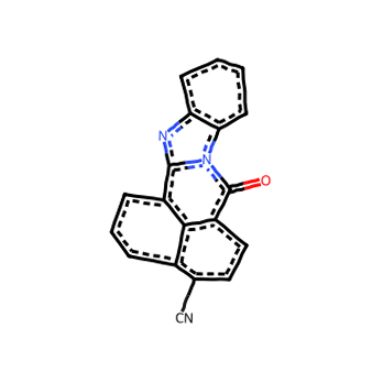 N#Cc1ccc2c(=O)n3c4ccccc4nc3c3cccc1c23